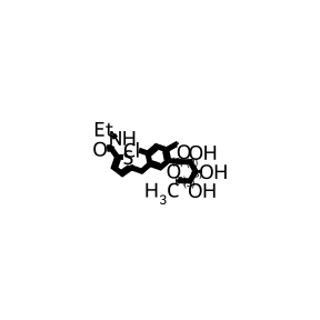 CCNC(=O)c1ccc(Cc2cc3c(cc2Cl)CO[C@]32O[C@H](C)[C@@H](O)[C@H](O)[C@H]2O)s1